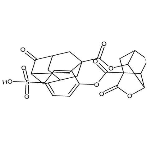 O=C1C2CC3CC1CC(C(=O)OC1C4CC5(C(=O)Oc6ccc(S(=O)(=O)O)cc6)C(=O)OC1C5O4)(C3)C2